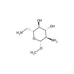 CO[C@@H]1O[C@H](CN)[C@@H](O)[C@H](O)[C@H]1N